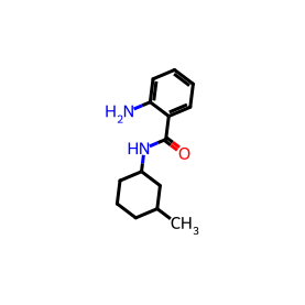 CC1CCCC(NC(=O)c2ccccc2N)C1